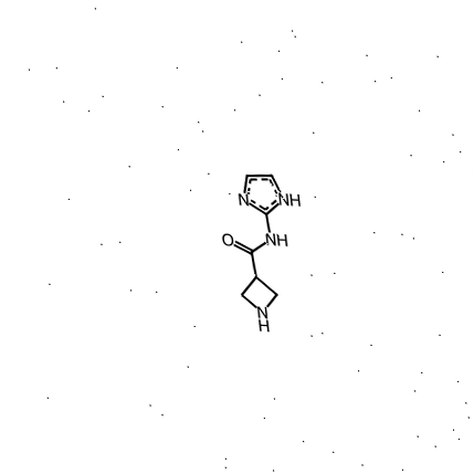 O=C(Nc1ncc[nH]1)C1CNC1